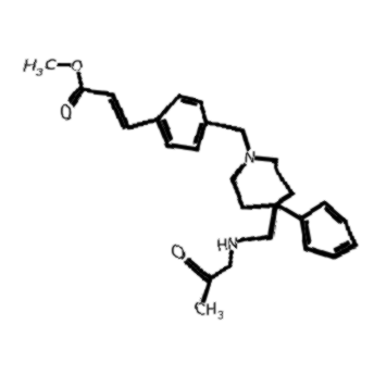 COC(=O)/C=C/c1ccc(CN2CCC(CNCC(C)=O)(c3ccccc3)CC2)cc1